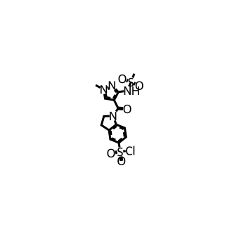 Cn1cc(C(=O)N2CCc3cc(S(=O)(=O)Cl)ccc32)c(NS(C)(=O)=O)n1